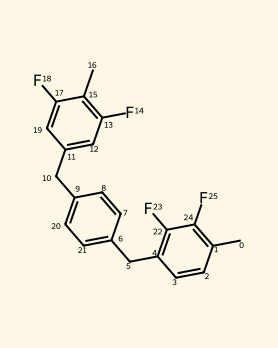 Cc1ccc(Cc2ccc(Cc3cc(F)c(C)c(F)c3)cc2)c(F)c1F